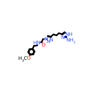 COc1ccc(CCNC(=O)Cn2cc(CCCc3c[nH]c(N)n3)nn2)cc1